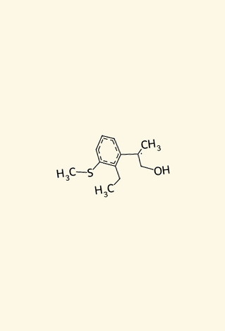 CCc1c(SC)cccc1[C](C)CO